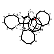 CC(C(=O)OC(O)(C1CCCCCCCC1)C1CCCCCCCC1)=C(C)C(O)(C1CCCCCCCC1)C1CCCCCCCC1